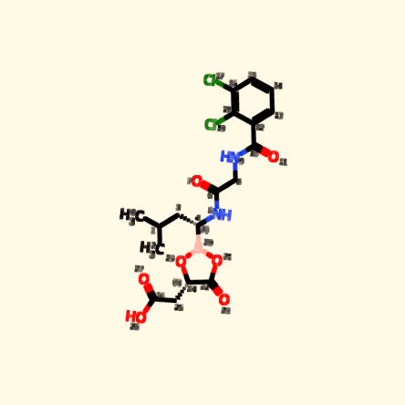 CC(C)C[C@H](NC(=O)CNC(=O)c1cccc(Cl)c1Cl)B1OC(=O)[C@H](CC(=O)O)O1